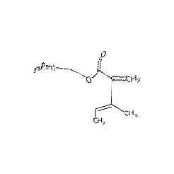 C=C(C(=O)OCCCCCC)C(C)=CC